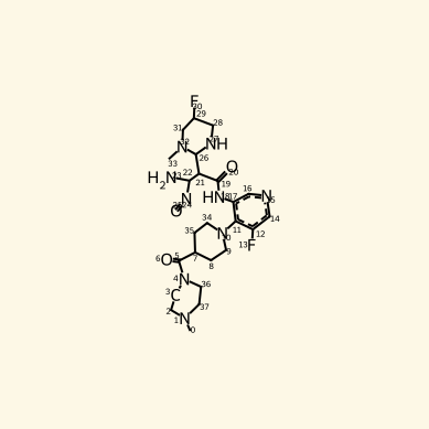 CN1CCN(C(=O)C2CCN(c3c(F)cncc3NC(=O)C(C(N)N=O)C3NCC(F)CN3C)CC2)CC1